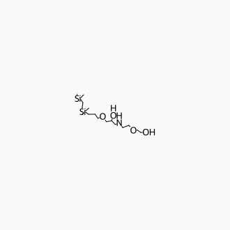 C[Si](C)(C)CC[Si](C)(C)CCCOCC(O)CNCCOCCO